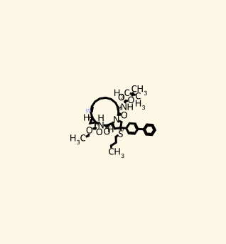 CCCCS[C@@]1(C2C=CC(c3ccccc3)=CC2)C[C@H]2C(=O)N[C@]3(C(=O)OCC)C[C@H]3/C=C\CCCCC[C@H](NC(=O)OC(C)(C)C)C(=O)N2C1